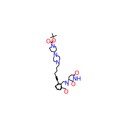 CN(Cc1c(C#CCCCCN2CCN(C3CCN(C(=O)OC(C)(C)C)CC3)CC2)cccc1C=O)C1CCC(=O)NC1=O